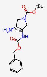 CC(C)(C)OC(=O)N1C[C@H](N)[C@H](NC(=O)OCc2ccccc2)C1